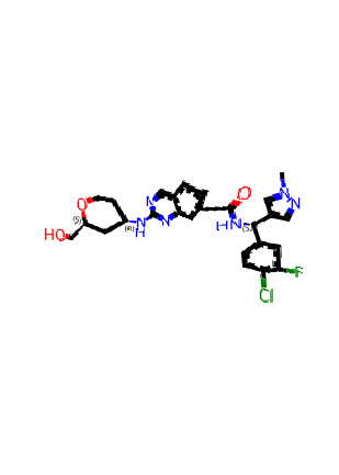 Cn1cc([C@@H](NC(=O)c2ccc3cnc(N[C@@H]4CCO[C@H](CO)C4)nc3c2)c2ccc(Cl)c(F)c2)cn1